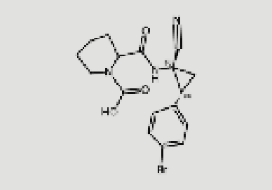 N#C[C@@]1(NC(=O)C2CCCCN2C(=O)O)C[C@@H]1c1ccc(Br)cc1